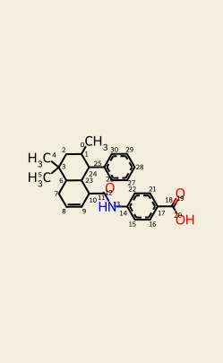 CC1CC(C)(C)C2CC=CC(C(=O)Nc3ccc(C(=O)O)cc3)C2C1c1ccccc1